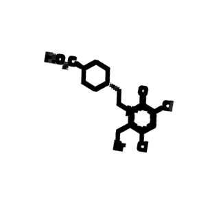 CCOC(=O)[C@H]1CC[C@H](CCn2c(CBr)c(Cl)cc(Cl)c2=O)CC1